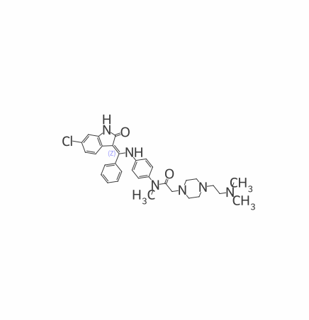 CN(C)CCN1CCN(CC(=O)N(C)c2ccc(N/C(=C3\C(=O)Nc4cc(Cl)ccc43)c3ccccc3)cc2)CC1